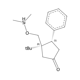 C[SiH](C)OC[C@]1(C(C)(C)C)CC(=O)C[C@H]1c1ccccc1